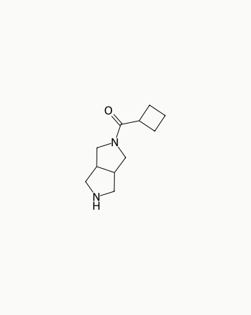 O=C(C1CCC1)N1CC2CNCC2C1